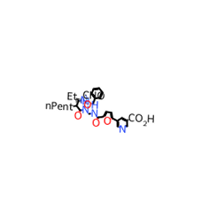 CCCCCC(C(=O)NCNC(=O)c1ccc(-c2cncc(C(=O)O)c2)o1)[C@@H](CC)N(C=O)OCc1ccccc1